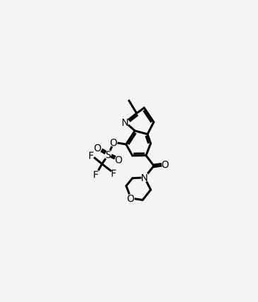 Cc1ccc2cc(C(=O)N3CCOCC3)cc(OS(=O)(=O)C(F)(F)F)c2n1